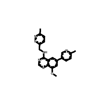 COc1cc(-c2ccc(C)nc2)cc2c(NCc3ccc(C)nn3)ncnc12